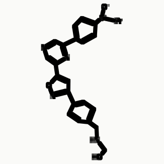 CC(C)[S+]([O-])c1ccc(-c2cncc(-c3cc(-c4ccc(CNCO)cc4)no3)n2)cc1